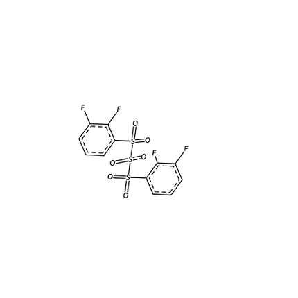 O=S(=O)(c1cccc(F)c1F)S(=O)(=O)S(=O)(=O)c1cccc(F)c1F